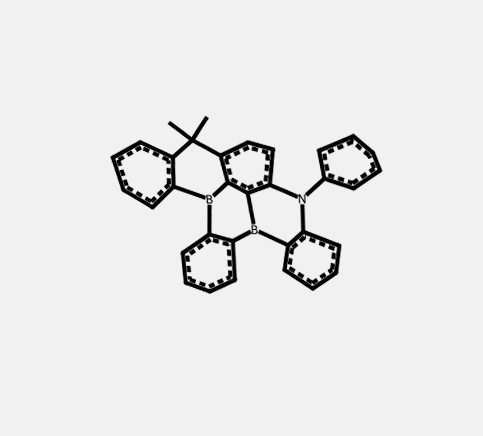 CC1(C)c2ccccc2B2c3ccccc3B3c4ccccc4N(c4ccccc4)c4ccc1c2c43